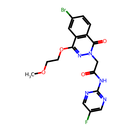 COCCOc1nn(CC(=O)Nc2ncc(F)cn2)c(=O)c2ccc(Br)cc12